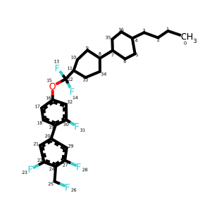 CCCCC1CCC(C2CCC(C(F)(F)Oc3ccc(-c4cc(F)c(CF)c(F)c4)c(F)c3)CC2)CC1